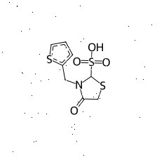 O=C1CSC(S(=O)(=O)O)N1Cc1cccs1